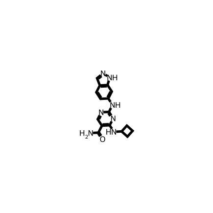 NC(=O)c1cnc(Nc2ccc3cn[nH]c3c2)nc1NC1CCC1